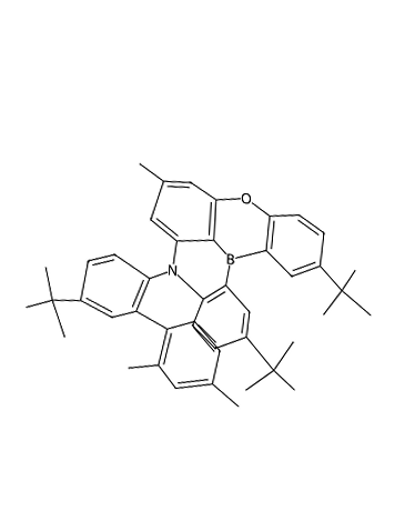 Cc1ccc(-c2cc(C(C)(C)C)ccc2N2c3ccc(C(C)(C)C)cc3B3c4cc(C(C)(C)C)ccc4Oc4cc(C)cc2c43)c(C)c1